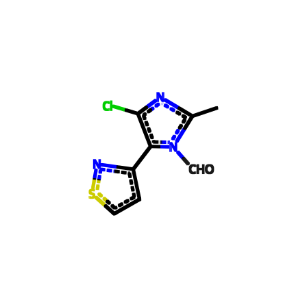 Cc1nc(Cl)c(-c2ccsn2)n1C=O